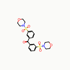 O=C(c1cccc(S(=O)(=O)N2CCOCC2)c1)c1cccc(S(=O)(=O)N2CCOCC2)c1